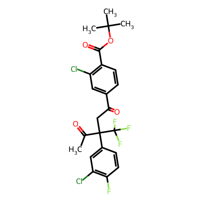 CC(=O)C(CC(=O)c1ccc(C(=O)OC(C)(C)C)c(Cl)c1)(c1ccc(F)c(Cl)c1)C(F)(F)F